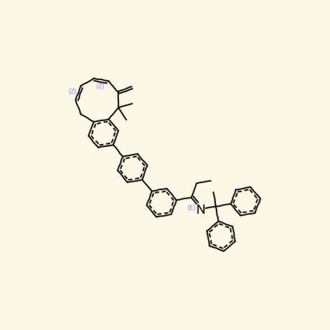 C=C1/C=C\C=C/Cc2ccc(-c3ccc(-c4cccc(/C(CC)=N/C(C)(c5ccccc5)c5ccccc5)c4)cc3)cc2C1(C)C